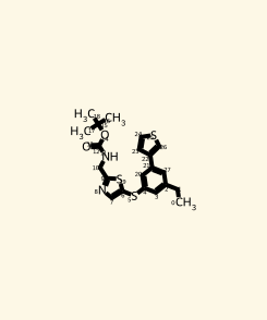 CCc1cc(Sc2cnc(CNC(=O)OC(C)(C)C)s2)cc(-c2ccsc2)c1